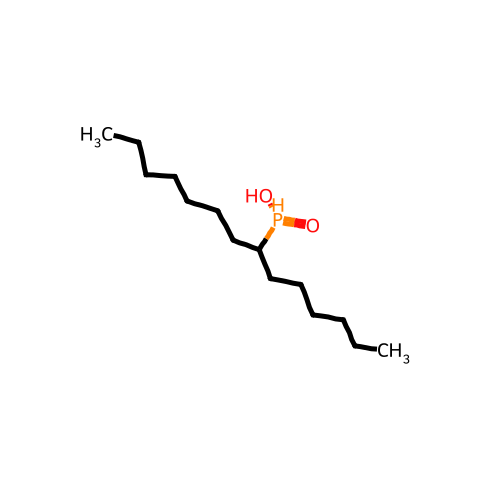 CCCCCCCC(CCCCCC)[PH](=O)O